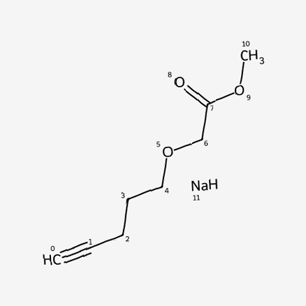 C#CCCCOCC(=O)OC.[NaH]